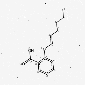 CCCCC=COc1ccccc1C(=O)O